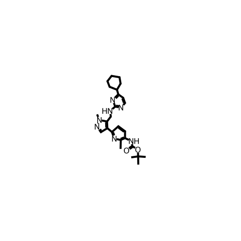 Cc1nc(-c2cnn(C)c2CNc2nccc(C3CCCCC3)n2)ccc1NC(=O)OC(C)(C)C